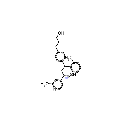 Cc1cc(/C(CC(c2ccc(CCCO)cc2)c2ccccc2C)=N/O)ccn1